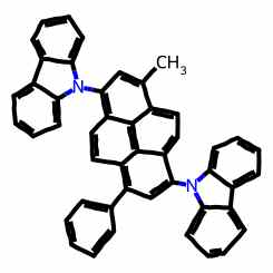 Cc1cc(-n2c3ccccc3c3ccccc32)c2ccc3c(-c4ccccc4)cc(-n4c5ccccc5c5ccccc54)c4ccc1c2c34